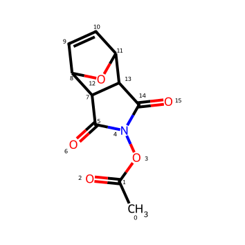 CC(=O)ON1C(=O)C2C3C=CC(O3)C2C1=O